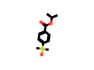 CC(C)OC(=O)c1ccc([SH](C)(C)=O)cc1